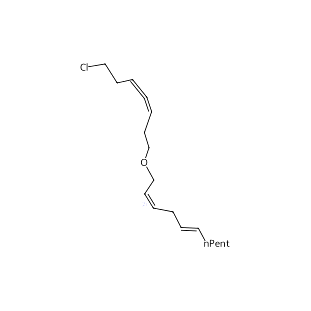 CCCCCC=CC/C=C\COCCC=C=CCCCl